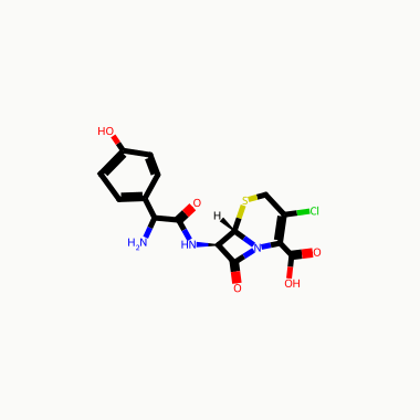 NC(C(=O)N[C@@H]1C(=O)N2C(C(=O)O)=C(Cl)CS[C@@H]12)c1ccc(O)cc1